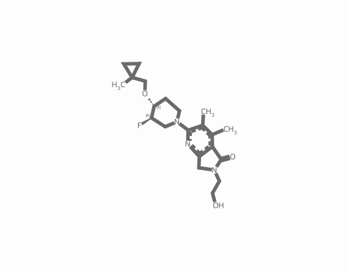 Cc1c(N2CC[C@@H](OCC3(C)CC3)[C@H](F)C2)nc2c(c1C)C(=O)N(CCO)C2